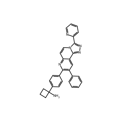 NC1(c2ccc(-c3nc4ccn5c(-c6ccccn6)nnc5c4cc3-c3ccccc3)cc2)CCC1